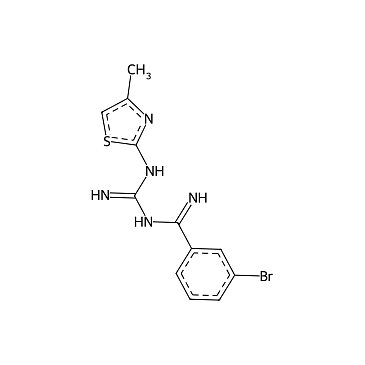 Cc1csc(NC(=N)NC(=N)c2cccc(Br)c2)n1